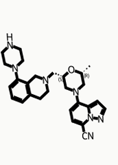 C[C@@H]1CN(c2ccc(C#N)n3nccc23)C[C@H](CN2CCc3cccc(N4CCNCC4)c3C2)O1